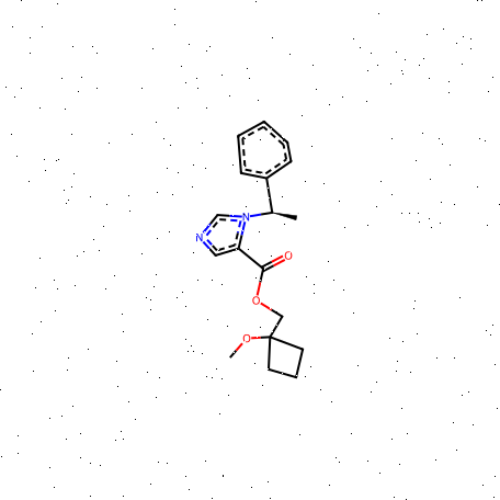 COC1(COC(=O)c2cncn2[C@H](C)c2ccccc2)CCC1